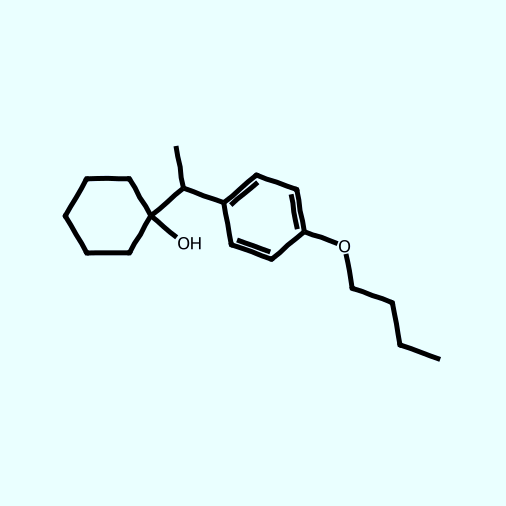 CCCCOc1ccc(C(C)C2(O)CCCCC2)cc1